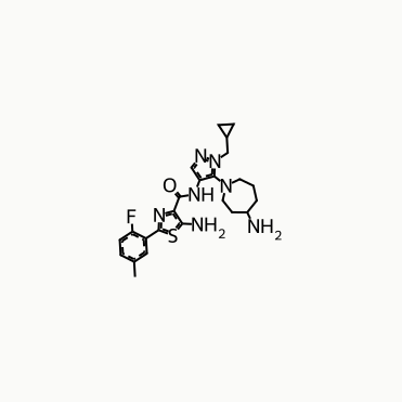 Cc1ccc(F)c(-c2nc(C(=O)Nc3cnn(CC4CC4)c3N3CCCC(N)CC3)c(N)s2)c1